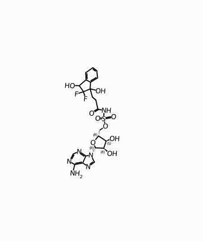 Nc1ncnc2c1ncn2[C@@H]1O[C@H](COS(=O)(=O)NC(=O)CCC2(O)c3ccccc3C(O)C2(F)F)[C@@H](O)[C@H]1O